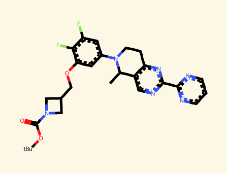 CC1c2cnc(-c3ncccn3)nc2CCN1c1cc(F)c(F)c(OCC2CN(C(=O)OC(C)(C)C)C2)c1